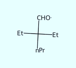 CCCC([C]=O)(CC)CC